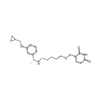 C[C@@H](NCCCCCOCn1ccc(=O)[nH]c1=O)c1cccc(OCC2CC2)c1